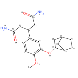 COc1ccc(C(CC(N)=O)CC(N)=O)cc1O[C@@H]1CC2CCC1C2